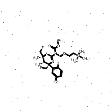 C[C@@H]1[C@@](C)(CF)SC(N(COCC[Si](C)(C)C)C(=O)OC(C)(C)C)=N[C@]1(CF)c1cc(Br)ccc1F